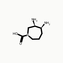 N[C@@H]1CN(C(=O)O)CCC[C@@H]1N